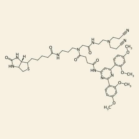 COc1ccc(-c2cc(NC(=O)CCC(=O)N(CCCNC(=O)CCCCC3SCC4NC(=O)N[C@@H]43)CC(=O)NCCN(CCC#N)CCC#N)nc(-c3ccc(OC)cc3OC)n2)c(OC)c1